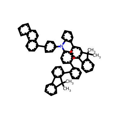 CC1(C)c2ccccc2-c2ccc(-c3ccccc3N(c3ccc(-c4ccccc4-c4cccc5c4C(C)(C)c4ccccc4-5)cc3)c3ccc(-c4cccc5c4ccc4ccccc45)cc3)cc21